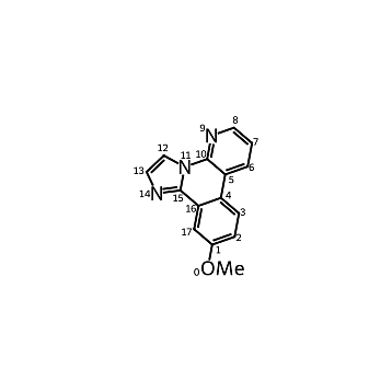 COc1ccc2c3cccnc3n3ccnc3c2c1